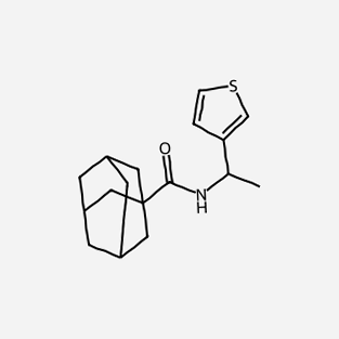 CC(NC(=O)C12CC3CC(CC(C3)C1)C2)c1ccsc1